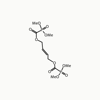 COP(=O)(OC)C(=O)OCC=CCOC(=O)P(=O)(OC)OC